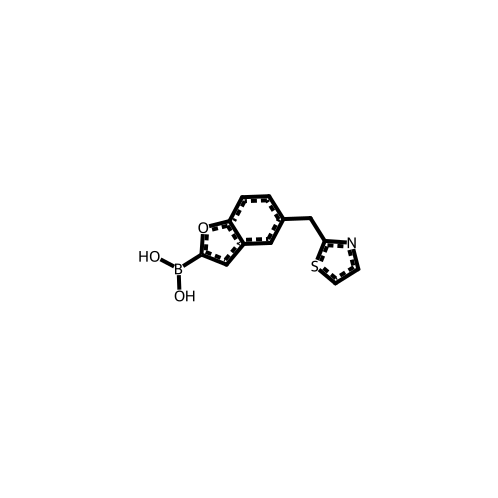 OB(O)c1cc2cc(Cc3nccs3)ccc2o1